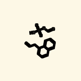 C=CCc1cccc2ccccc12.O=COS(=O)(=O)O